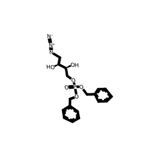 [N-]=[N+]=NC[C@H](O)[C@@H](O)COP(=O)(OCc1ccccc1)OCc1ccccc1